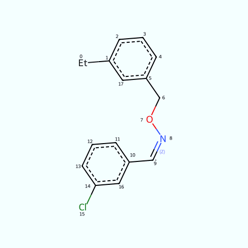 CCc1cccc(CO/N=[C]\c2cccc(Cl)c2)c1